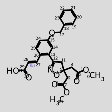 COC(=O)CC1(CC(=O)OC)CC(c2cc(OCc3ccccc3)ccc2/C=C/C(=O)O)=NO1